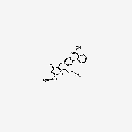 CCCCc1[nH]c(NC#N)nc(=O)c1Cc1ccc(-c2ccccc2C(=O)O)cc1